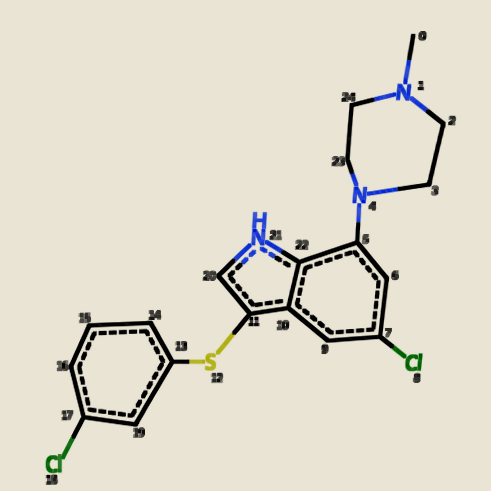 CN1CCN(c2cc(Cl)cc3c(Sc4cccc(Cl)c4)c[nH]c23)CC1